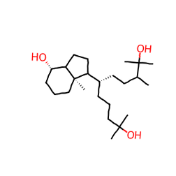 CC(CC[C@H](CCCC(C)(C)O)C1CCC2[C@@H](O)CCC[C@]12C)C(C)(C)O